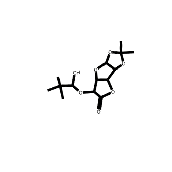 CC1(C)OC2OC3C(OC(O)C(C)(C)C)C(=O)OC3C2O1